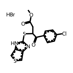 Br.COC(=O)CC(Sc1nc2cscc2[nH]1)C(=O)c1ccc(Cl)cc1